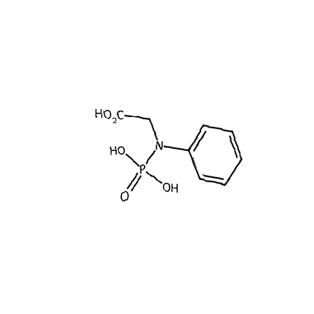 O=C(O)CN(c1ccccc1)P(=O)(O)O